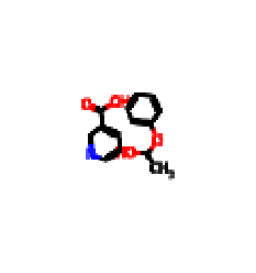 CC(O)Oc1ccccc1.O=C(O)c1cccnc1